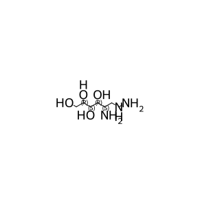 NNC[C@H](N)[C@@H](O)[C@H](O)[C@H](O)CO